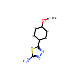 CCCCCCOC1CCC(c2nnc(N)s2)CC1